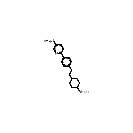 CCCCCCCc1ccc(-c2ccc(CCC3CCC(CCCCCCC)CC3)cc2)nc1